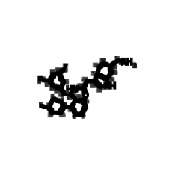 Cc1ccc(-c2cccnc2[C@H](Cc2cc(F)cc(F)c2)NC(=O)Cc2c[nH]c3cc(CN)ccc23)cc1